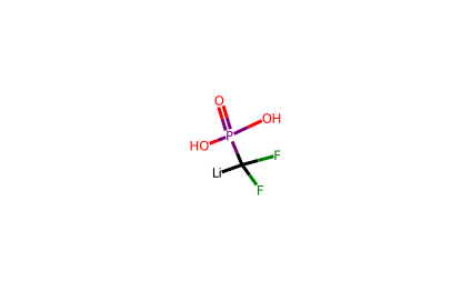 [Li][C](F)(F)P(=O)(O)O